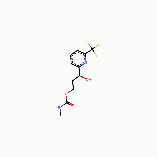 CNC(=O)OCCC(O)c1cccc(C(F)(F)F)n1